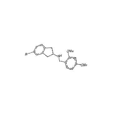 COc1ccc(CNC2Cc3ccc(Br)cc3C2)c(OC)c1